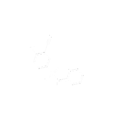 N#Cc1cc(S(=O)(=O)Nc2ccccn2)ccc1F